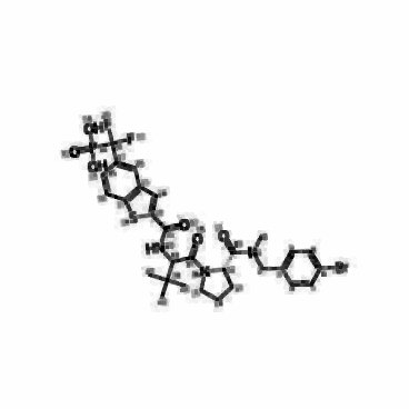 CN(Cc1ccc(Br)cc1)C(=O)[C@@H]1CCCN1C(=O)C(NC(=O)c1cc2cc(C(F)(F)P(=O)(O)O)ccc2s1)C(C)(C)C